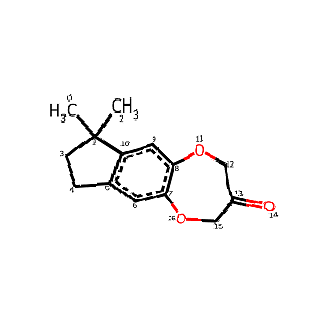 CC1(C)CCc2cc3c(cc21)OCC(=O)CO3